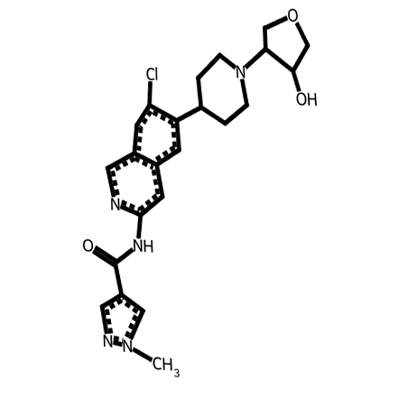 Cn1cc(C(=O)Nc2cc3cc(C4CCN(C5COCC5O)CC4)c(Cl)cc3cn2)cn1